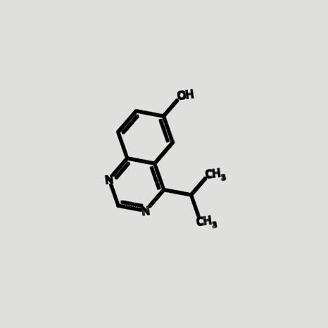 CC(C)c1ncnc2ccc(O)cc12